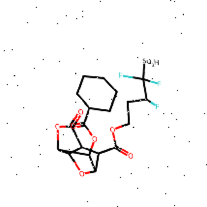 O=C(OC1C2OC(=O)C3C2OC1C3C(=O)OCCC(F)C(F)(F)S(=O)(=O)O)C1CCCCC1